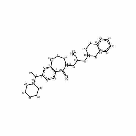 CC(c1ccc2c(c1)OCCN(CC(O)CN1CCc3ccccc3C1)C2=O)N1CCCCC1